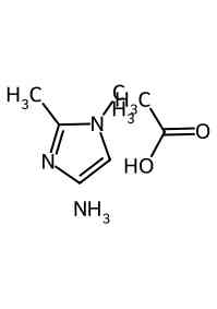 CC(=O)O.Cc1nccn1C.N